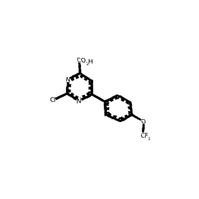 O=C(O)c1cc(-c2ccc(OC(F)(F)F)cc2)nc(Cl)n1